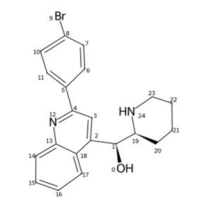 O[C@@H](c1cc(-c2ccc(Br)cc2)nc2ccccc12)[C@@H]1CCCCN1